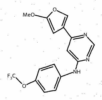 COc1cc(-c2cc(Nc3ccc(OC(F)(F)F)cc3)ncn2)co1